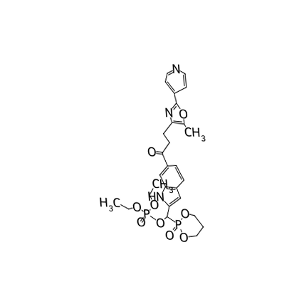 CCOP(=O)(OCC)OC(c1cc2ccc(C(=O)CCc3nc(-c4ccncc4)oc3C)cc2[nH]1)P1(=O)OCCCO1